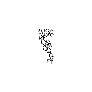 O=C1N[C@@]2(CCc3cc(OCC(F)(F)F)ccc32)Cc2nn(CCC3CC3)c(CNC(=O)C3(O)CC3)c21